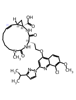 COc1ccc2c(OCC[C@@H]3NC(=O)N(C)CCCC/C=C\[C@@H]4C[C@@]4(C(=O)O)NC3=O)cc(-n3ccc(C(C)C)n3)nc2c1Cl